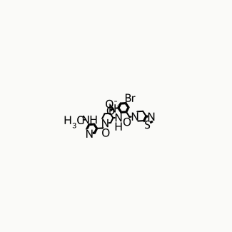 CNc1cncc(C(=O)N2CCCC(Nc3c(C(=O)N4CCc5ncsc5C4)cc(Br)cc3[N+](=O)[O-])C2)c1